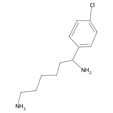 NCCCCCC(N)c1ccc(Cl)cc1